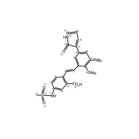 COc1c(C=Cc2ccc(NS(C)(=O)=O)cc2C(=O)O)cc(-c2ccn[nH]c2=O)cc1C(C)(C)C